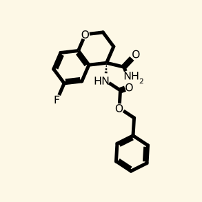 NC(=O)[C@]1(NC(=O)OCc2ccccc2)CCOc2ccc(F)cc21